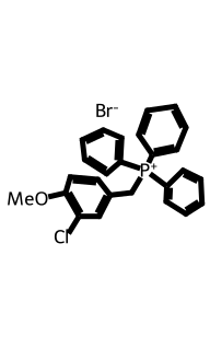 COc1ccc(C[P+](c2ccccc2)(c2ccccc2)c2ccccc2)cc1Cl.[Br-]